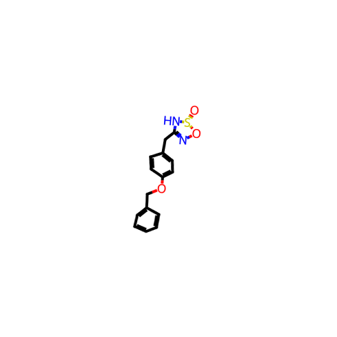 O=S1NC(Cc2ccc(OCc3ccccc3)cc2)=NO1